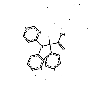 CC(C(=O)O)(c1ccncn1)N(c1cccnc1)c1ccncn1